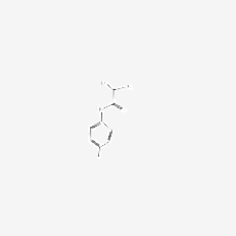 CC(=O)C(C(=O)Nc1ccc(F)cc1)C(C)C